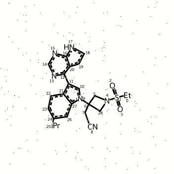 CCS(=O)(=O)N1CC(CC#N)(n2cc(-c3ncnc4[nH]ccc34)c3ccc(C(C)C)cc32)C1